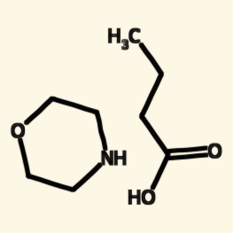 C1COCCN1.CCCC(=O)O